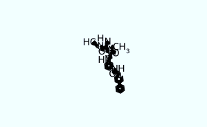 C#CCNC(=O)C(C#N)=c1sc(=CNc2cccc(NC(=O)CN3CCC(c4ccccc4)CC3)c2)c(=O)n1CC